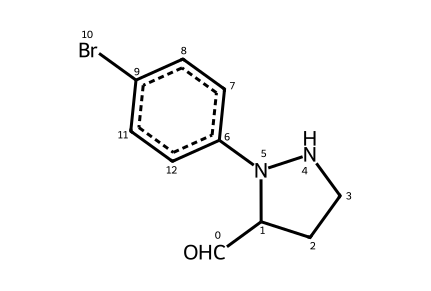 O=CC1CCNN1c1ccc(Br)cc1